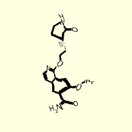 CC(C)Oc1cc2c(OCC[C@@H]3CCNC3=O)nccc2cc1C(N)=O